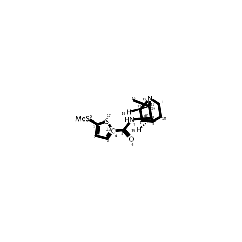 CSc1cc[13c](C(=O)N[C@@H]2C3CCN(CC3)[C@H]2C)s1